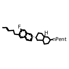 C/C=C/CCc1cc2ccc([C@@H]3CC[C@@H]4CC(CCCCC)CCC4C3)cc2cc1F